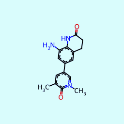 Cc1cc(-c2cc(N)c3c(c2)CCC(=O)N3)cn(C)c1=O